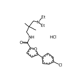 CCN(CC)CC(C)(C)CNC(=O)c1ccc(-c2ccc(Cl)cc2)o1.Cl